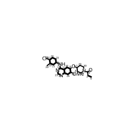 C=CC(=O)N1CCC(Oc2cc3c(Nc4ccc(Cl)c(C)c4)ncnc3cc2OC)CC1